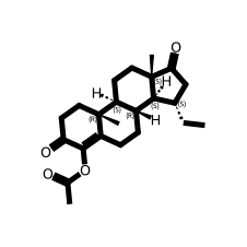 CC[C@H]1CC(=O)[C@@]2(C)CC[C@H]3[C@@H](CCC4=C(OC(C)=O)C(=O)CC[C@@]43C)[C@H]12